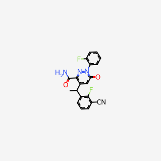 CC(c1cc(=O)n(-c2ccccc2F)nc1C(N)=O)c1cccc(C#N)c1F